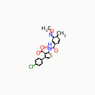 C=C1C=CC(C(=O)Nc2scc(-c3ccc(Cl)cc3)c2C(=O)O)=C/C1=N/OC